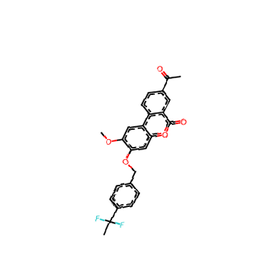 COc1cc2c(cc1OCc1ccc(C(C)(F)F)cc1)oc(=O)c1cc(C(C)=O)ccc12